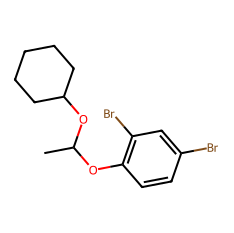 CC(Oc1ccc(Br)cc1Br)OC1CCCCC1